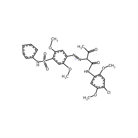 COc1cc(NC(=O)C(/N=N/c2cc(OC)c(S(=O)(=O)Nc3ccccc3)cc2OC)C(C)=O)c(OC)cc1Cl